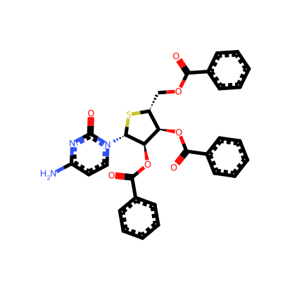 Nc1ccn([C@@H]2S[C@H](COC(=O)c3ccccc3)[C@@H](OC(=O)c3ccccc3)[C@H]2OC(=O)c2ccccc2)c(=O)n1